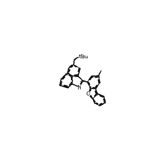 Cc1cc(C2=Nc3cccc4cc(CC(C)(C)C)cc2c34)c2oc3ccccc3c2c1